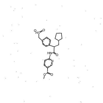 COC(=O)c1ccc(NC(=O)C(CC2CCCC2)c2ccc(C[SH](=O)=O)cc2)nc1